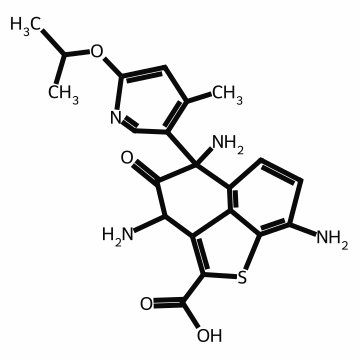 Cc1cc(OC(C)C)ncc1C1(N)C(=O)C(N)c2c(C(=O)O)sc3c(N)ccc1c23